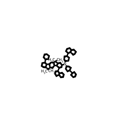 CC1(C)c2cc3c(cc2-c2c(-c4ccccc4)cccc21)C(C)(C)c1cc(N(c2ccc(-c4ccccc4)cc2)c2ccc(-c4cccc5ccccc45)cc2)cc(-c2cccc4ccccc24)c1-3